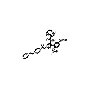 CSc1ccc(OC(F)F)c(-c2nn(CC(=O)N3CCN(CCN4CCOCC4)CC3)cc2NC(=O)c2cnn3cccnc23)c1